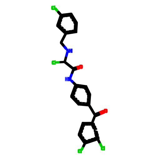 O=C(c1ccc(NC(=O)C(Cl)NCc2cccc(Cl)c2)cc1)c1ccc(Cl)c(Cl)c1